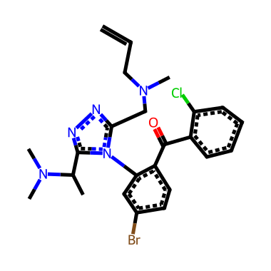 C=CCN(C)Cc1nnc(C(C)N(C)C)n1-c1cc(Br)ccc1C(=O)c1ccccc1Cl